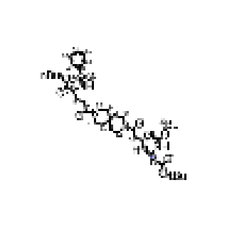 CCCCOC(=O)C(CCC(=O)N1CCC2(CCN(C(=O)CCN/C(=N/C(=O)OC(C)(C)C)NC(=O)OC(C)(C)C)CC2)CC1)NS(=O)(=O)c1ccccc1